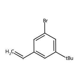 C=[C]c1cc(Br)cc(C(C)(C)C)c1